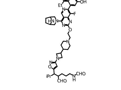 CCc1cccc2cc(O)cc(-c3ncc4c(N5CC6CCC(C5)N6)nc(OCCN5CCC(C6CN(c7cc(C(C(C)C)C(C=O)CCCNC=O)on7)C6)CC5)nc4c3F)c12